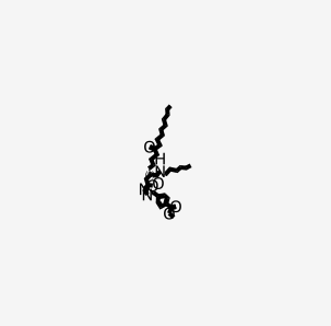 CCCCCCCCCC(=O)CCCC[C@@H](Cc1nnc(-c2ccc(C(=O)OC)cc2)o1)C(=O)NCCCCCC